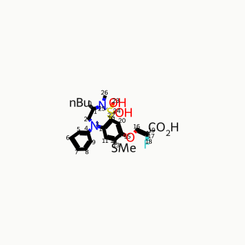 CCCCC1CN(c2ccccc2)c2cc(SC)c(OC=C(F)C(=O)O)cc2S(O)(O)N1C